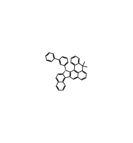 CC1(C)c2ccccc2-c2c3c1cccc3cc1c3c4ccccc4ccc3n(-c3cccc(-c4ccccc4)c3)c21